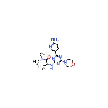 CC(Nc1nc(-c2ccc(N)nc2)nc(N2CCOCC2)n1)C(=O)N(C)C